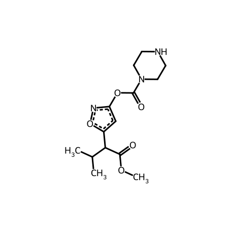 COC(=O)C(c1cc(OC(=O)N2CCNCC2)no1)C(C)C